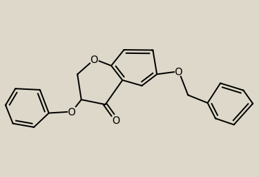 O=C1c2cc(OCc3ccccc3)ccc2OCC1Oc1ccccc1